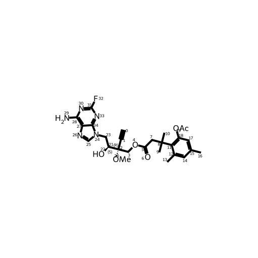 C#C[C@](COC(=O)CC(C)(C)c1c(C)cc(C)cc1OC(C)=O)(OC)[C@@H](O)Cn1cnc2c(N)nc(F)nc21